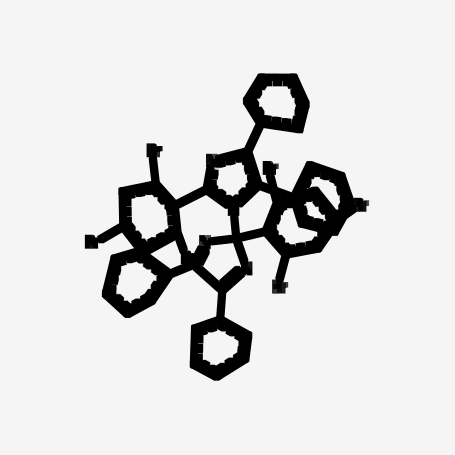 Brc1cc(Br)c(-c2nc(-c3ccccc3)c(-c3ccccc3)n2C2(c3c(Br)cc(Br)cc3Br)N=C(c3ccccc3)C(c3ccccc3)=N2)c(Br)c1